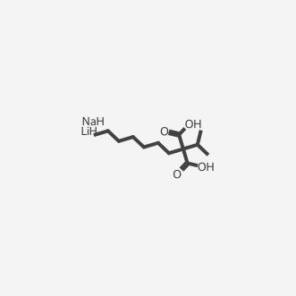 CCCCCCCC(C(=O)O)(C(=O)O)C(C)C.[LiH].[NaH]